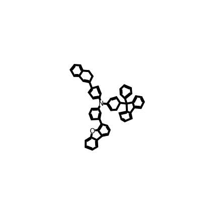 C1=CC(C2(c3ccccc3)c3ccccc3-c3ccccc32)CC=C1N(c1ccc(C2=Cc3ccccc3CC2)cc1)c1cccc(-c2cccc3c2oc2ccccc23)c1